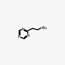 CCCCCCc1ncpcn1